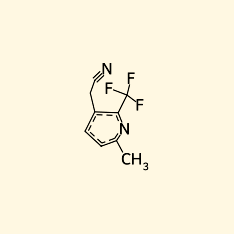 Cc1ccc(CC#N)c(C(F)(F)F)n1